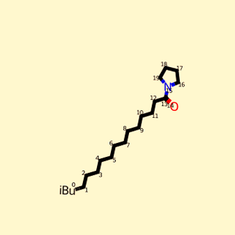 CCC(C)CCCCCCCCCCCCC(=O)N1CCCC1